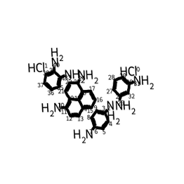 Cl.Cl.Nc1ccc(N)cc1.Nc1ccc2cccc3c2c1C=CC3N.Nc1cccc(N)c1.Nc1ccccc1N